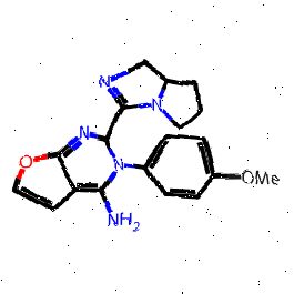 COc1ccc(N2C(N)=c3ccoc3=NC2C2=NCC3CCCN23)cc1